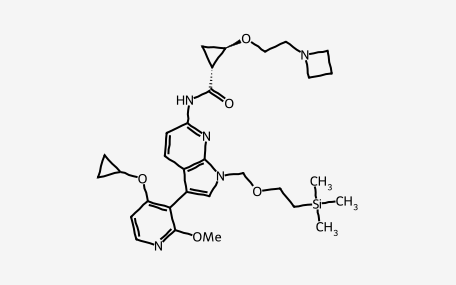 COc1nccc(OC2CC2)c1-c1cn(COCC[Si](C)(C)C)c2nc(NC(=O)[C@@H]3C[C@H]3OCCN3CCC3)ccc12